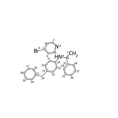 Brc1ccncc1.C=C(Nc1ccc(Cc2ccccc2)cc1)c1ccccc1